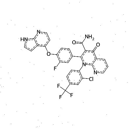 NC(=O)c1c(-c2ccc(Oc3ccnc4[nH]ccc34)c(F)c2)n(-c2ccc(C(F)(F)F)cc2Cl)c2ncccc2c1=O